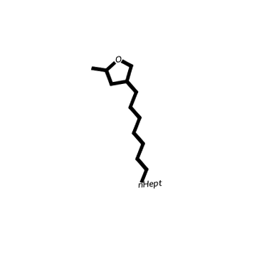 CCCCCCCCCCCCCCC1COC(C)C1